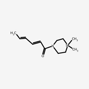 C/C=C/C=C/C(=O)N1CC[Si](C)(C)CC1